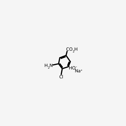 Nc1cc(C(=O)O)ccc1Cl.[Na+].[OH-]